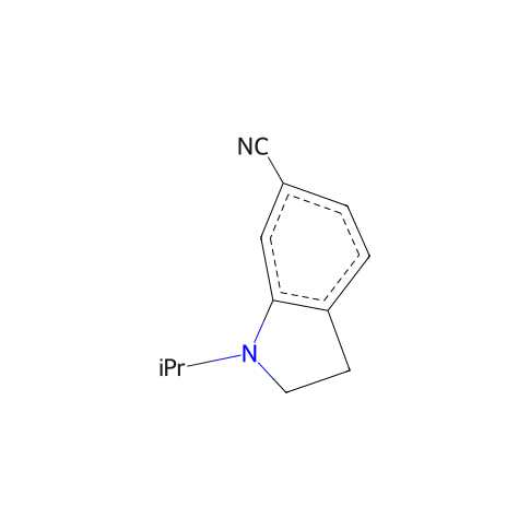 CC(C)N1CCc2ccc(C#N)cc21